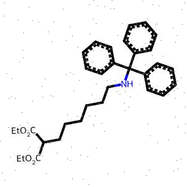 CCOC(=O)C(CCCCCCNC(c1ccccc1)(c1ccccc1)c1ccccc1)C(=O)OCC